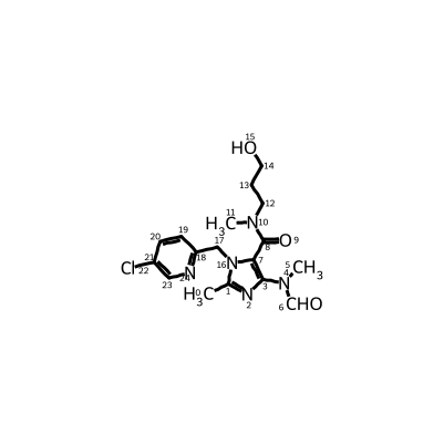 Cc1nc(N(C)C=O)c(C(=O)N(C)CCCO)n1Cc1ccc(Cl)cn1